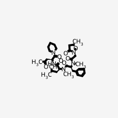 CC(=O)C[C@H](NC(=O)[C@H](CC(C)C)N(C)C(=O)[C@H](Cc1ccccc1)N(C)C(=O)CN1O[C@H](C)CC1=O)C(=O)N1CCCCC1